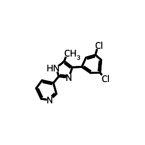 Cc1[nH]c(-c2cccnc2)nc1-c1cc(Cl)cc(Cl)c1